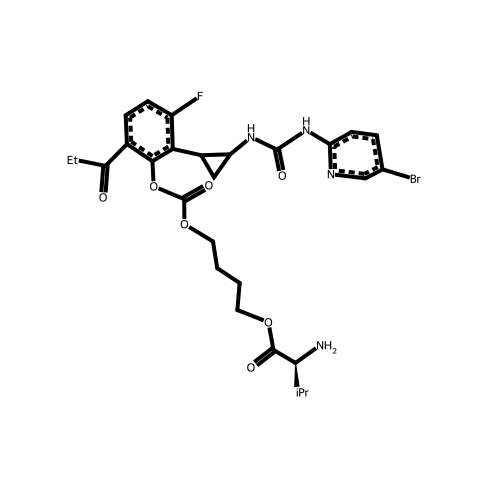 CCC(=O)c1ccc(F)c(C2CC2NC(=O)Nc2ccc(Br)cn2)c1OC(=O)OCCCCOC(=O)[C@@H](N)C(C)C